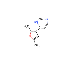 Cc1cc(C2C=CN=CN2)c(C)o1